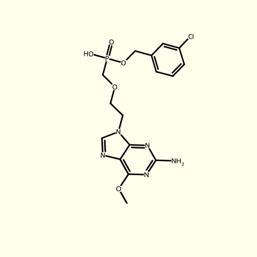 COc1nc(N)nc2c1ncn2CCOCP(=O)(O)OCc1cccc(Cl)c1